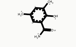 Cc1cc(C)c(O)c(C(N)=O)c1